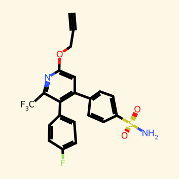 C#CCOc1cc(-c2ccc(S(N)(=O)=O)cc2)c(-c2ccc(F)cc2)c(C(F)(F)F)n1